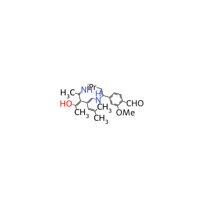 COc1cc(/C(=C/C(C)C)N/C=C(C=C(C)C)/C(C(C)=N)=C(\C)O)ccc1C=O